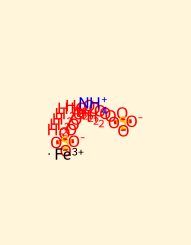 O.O.O.O.O.O.O.O.O.O.O=S(=O)([O-])[O-].O=S(=O)([O-])[O-].[Fe+3].[NH4+]